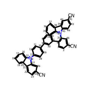 N#Cc1ccc(-c2cccc(-c3ccc(-n4c5ccccc5c5ccc(C#N)cc54)cc3)c2)c(-n2c3ccccc3c3cc(C#N)ccc32)c1